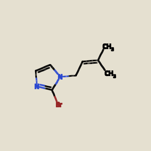 CC(C)=CCn1ccnc1Br